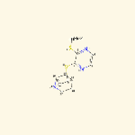 CCCCCCSc1nccnc1SC1CN2CCC1CC2